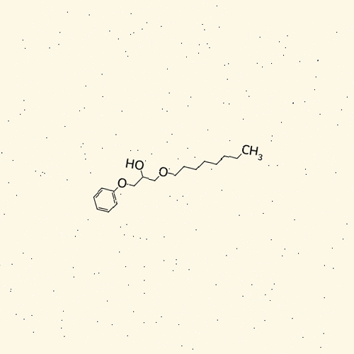 CCCCCCCCOCC(O)COc1ccccc1